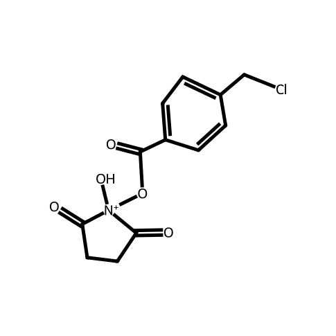 O=C(O[N+]1(O)C(=O)CCC1=O)c1ccc(CCl)cc1